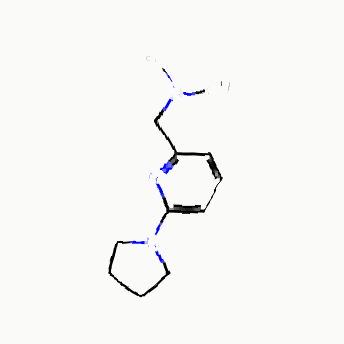 CCN(C)Cc1cccc(N2CCCC2)n1